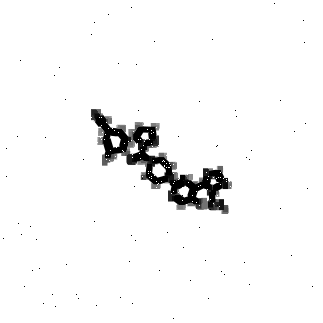 Cn1ncnc1-c1nc(N2CCN(C(=O)N3N=CC[C@H]3c3cc(F)cc(C#N)c3)CC2)ncc1Cl